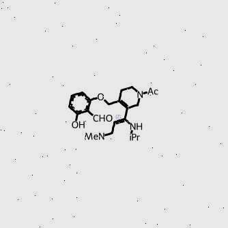 CNC/C=C(\NC(C)C)C1=C(COc2cccc(O)c2C=O)CCN(C(C)=O)C1